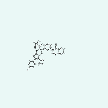 CNC(=O)c1c(-c2ccc(F)cc2)oc2cc(N(C)S(C)(=O)=O)c(-c3cccc(-n4ccc5ccccc5c4=O)c3)cc12